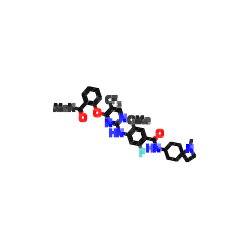 CNC(=O)c1ccccc1Oc1nc(Nc2cc(F)c(C(=O)NC3CCC4(CC3)CCN4C)cc2OC)ncc1C(F)(F)F